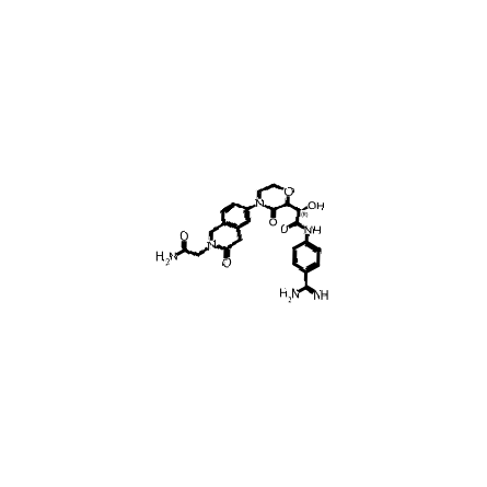 N=C(N)c1ccc(NC(=O)[C@H](O)C2OCCN(c3ccc4c(c3)CC(=O)N(CC(N)=O)C4)C2=O)cc1